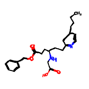 CCCCc1ccnc(CCC(CCC(=O)OCc2ccccc2)NCC(=O)O)c1